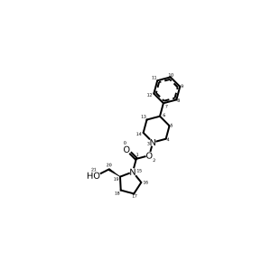 O=C(ON1CCC(c2ccccc2)CC1)N1CCC[C@H]1CO